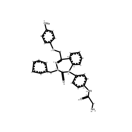 COc1ccc(OCC2=NN(Cc3ccccc3)C(=O)N(c3ccc(NC(=O)CN)cc3)c3ccccc32)cc1